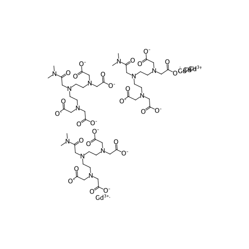 CN(C)C(=O)CN(CCN(CC(=O)[O-])CC(=O)[O-])CCN(CC(=O)[O-])CC(=O)[O-].CN(C)C(=O)CN(CCN(CC(=O)[O-])CC(=O)[O-])CCN(CC(=O)[O-])CC(=O)[O-].CN(C)C(=O)CN(CCN(CC(=O)[O-])CC(=O)[O-])CCN(CC(=O)[O-])CC(=O)[O-].[Gd+3].[Gd+3].[Gd+3].[Gd+3]